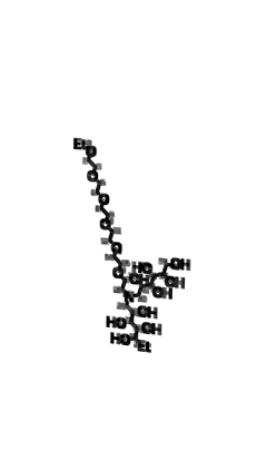 CCOCCOCCOCCOCCOCCOCCN(C[C@H](O)[C@@H](O)[C@H](O)[C@H](O)CC)C[C@H](O)[C@@H](O)[C@H](O)[C@H](O)CO